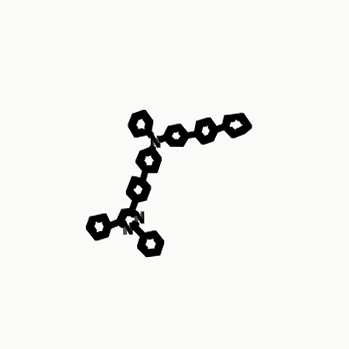 c1ccc(-c2ccc(-c3ccc(N(c4ccccc4)c4ccc(-c5ccc(-c6cc(-c7ccccc7)nc(-c7ccccc7)n6)cc5)cc4)cc3)cc2)cc1